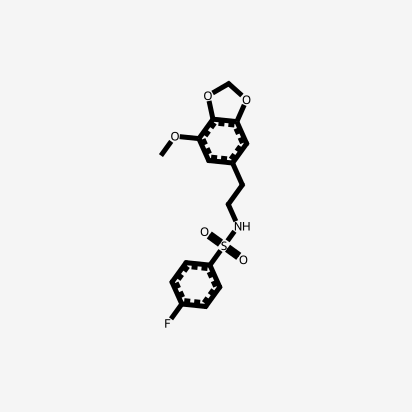 COc1cc(CCNS(=O)(=O)c2ccc(F)cc2)cc2c1OCO2